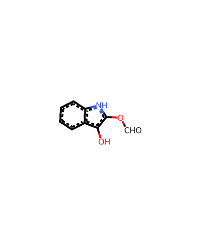 O=COc1[nH]c2ccccc2c1O